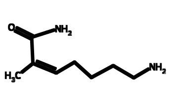 CC(=CCCCCN)C(N)=O